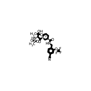 CC(C)(O)[C@@H](NS(C)(=O)=O)C(=O)N1CCC[C@@H](C(=O)NCc2ccc(C#N)cc2OC(F)(F)F)C1